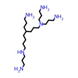 NCCCNCCCCC(CCCN)CCCN(CCCN)CCCN